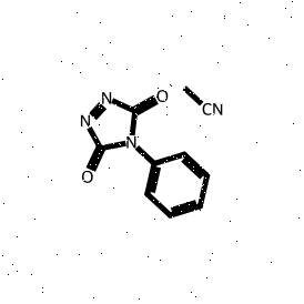 CC#N.O=C1N=NC(=O)N1c1ccccc1